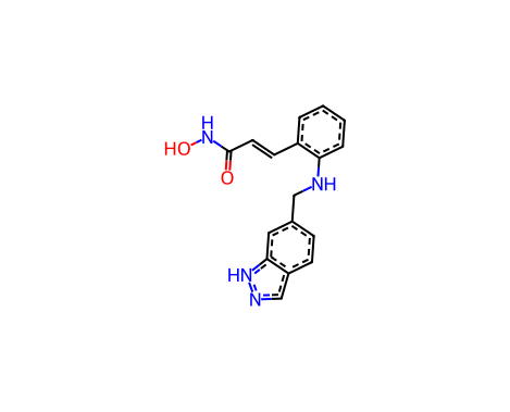 O=C(C=Cc1ccccc1NCc1ccc2cn[nH]c2c1)NO